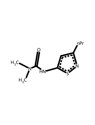 CCCc1cc(NC(=O)N(C)C)sn1